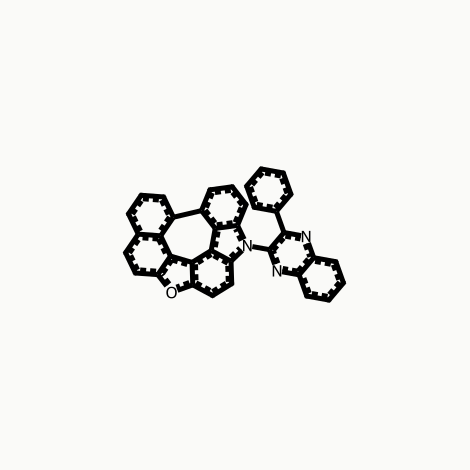 c1ccc(-c2nc3ccccc3nc2-n2c3cccc4c3c3c5c(ccc32)oc2ccc3cccc-4c3c25)cc1